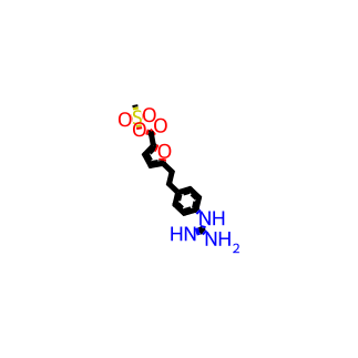 CS(=O)(=O)OC(=O)c1ccc(CCc2ccc(NC(=N)N)cc2)o1